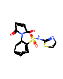 O=C1C=CC(=O)N1c1ccccc1S(=O)(=O)Nc1nccs1